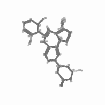 C[C@H]1CN(c2cc3c(cn2)NC(c2c(F)cccc2F)=Nc2c(Cl)cnn2-3)C[C@H](C)O1